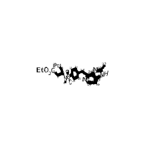 CCOC(=O)CC(CC(C)C)N(C)S(=O)(=O)c1ccc(Cc2nccc3[nH]c(C)nc23)cc1